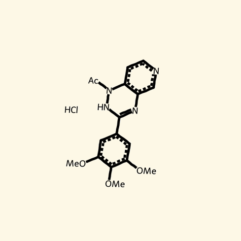 COc1cc(C2=Nc3cnccc3N(C(C)=O)N2)cc(OC)c1OC.Cl